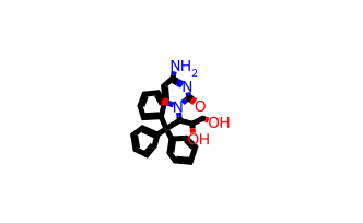 Nc1ccn(C(C(O)CO)C(c2ccccc2)(c2ccccc2)c2ccccc2)c(=O)n1